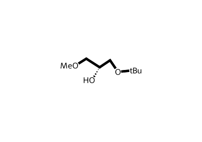 COC[C@@H](O)COC(C)(C)C